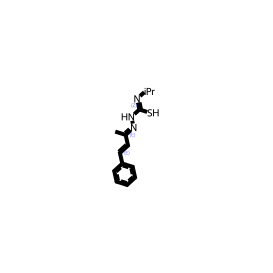 CC(/C=C/c1ccccc1)=N\N/C(S)=N/C(C)C